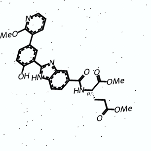 COC(=O)CC[C@H](NC(=O)c1ccc2[nH]c(-c3cc(-c4cccnc4OC)ccc3O)nc2c1)C(=O)OC